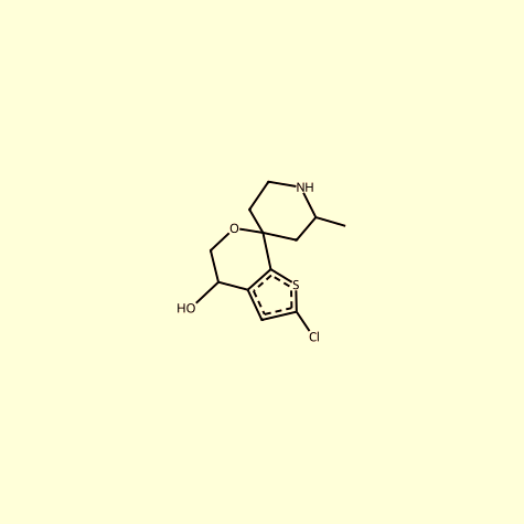 CC1CC2(CCN1)OCC(O)c1cc(Cl)sc12